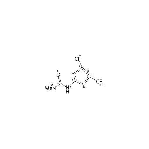 CNC(=O)Nc1cc(Cl)cc(C(F)(F)F)c1